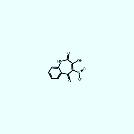 O=c1[nH]c2ccccc2c(=O)c([N+](=O)[O-])c1O